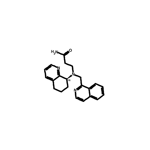 NC(=O)CCN(Cc1nccc2ccccc12)[C@H]1CCCc2cccnc21